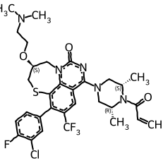 C=CC(=O)N1[C@H](C)CN(c2nc(=O)n3c4c(c(-c5ccc(F)c(Cl)c5)c(C(F)(F)F)cc24)SC[C@@H](OCCN(C)C)C3)C[C@@H]1C